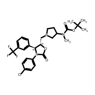 CN(C(=O)OC(C)(C)C)C1CCN(C[C@@H]2OC(=O)N(c3ccc(Cl)cc3)[C@H]2c2cccc(C(F)(F)F)c2)C1